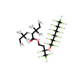 CCC(C)(C)C[C@@H](C(=O)OCCC(F)(OC(F)(F)C(F)(F)C(F)(F)C(F)(F)C(F)(F)C(F)(F)F)C(F)(F)F)C(C)(C)CC